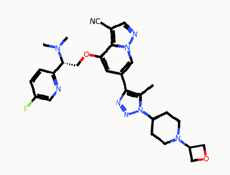 Cc1c(-c2cc(OC[C@H](c3ccc(F)cn3)N(C)C)c3c(C#N)cnn3c2)nnn1C1CCN(C2COC2)CC1